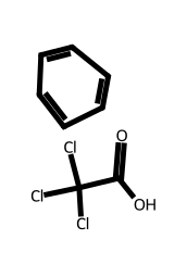 O=C(O)C(Cl)(Cl)Cl.c1ccccc1